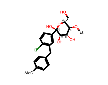 CCO[C@H]1[C@H](O)[C@@H](O)[C@](O)(c2ccc(Cl)c(Cc3ccc(OC)cc3)c2)O[C@@H]1CO